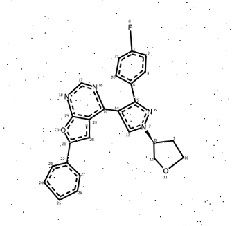 Fc1ccc(-c2nn([C@H]3CCOC3)cc2-c2ncnc3oc(-c4ccccc4)cc23)cc1